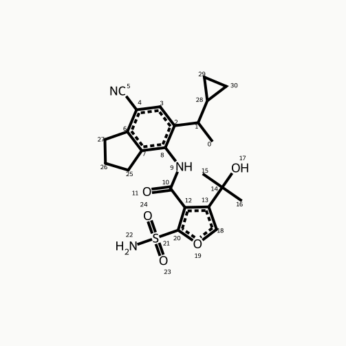 CC(c1cc(C#N)c2c(c1NC(=O)c1c(C(C)(C)O)coc1S(N)(=O)=O)CCC2)C1CC1